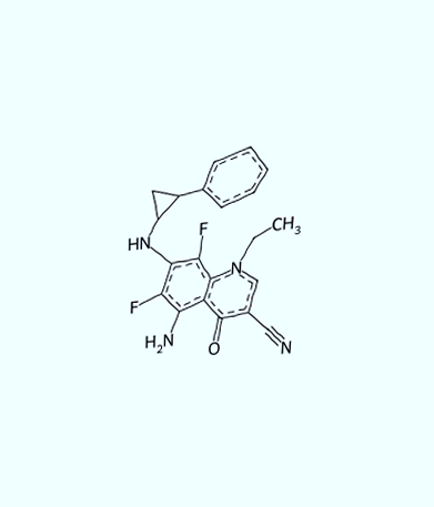 CCn1cc(C#N)c(=O)c2c(N)c(F)c(NC3CC3c3ccccc3)c(F)c21